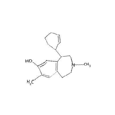 Cc1cc2c(cc1O)C(C1C=CCCC1)CN(C)CC2